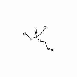 C=CCOP(=O)(OCl)OCl